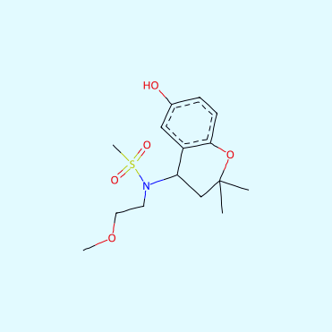 COCCN(C1CC(C)(C)Oc2ccc(O)cc21)S(C)(=O)=O